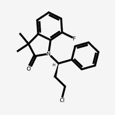 CC1(C)C(=O)N([C@H](CCCl)c2ccccc2)c2c(F)cccc21